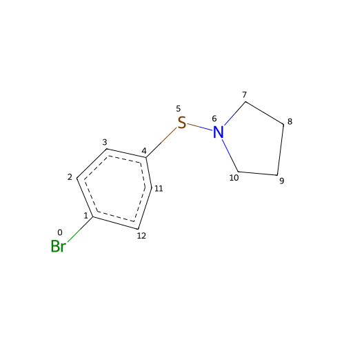 Brc1ccc(SN2CCCC2)cc1